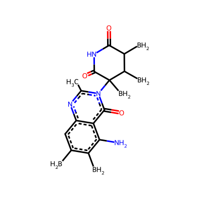 Bc1cc2nc(C)n(C3(B)C(=O)NC(=O)C(B)C3B)c(=O)c2c(N)c1B